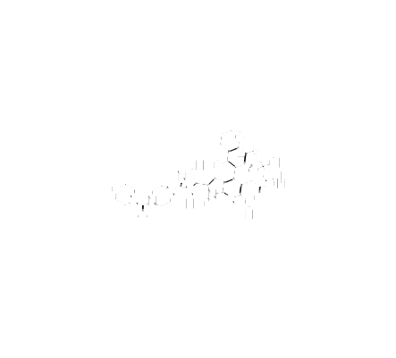 Cc1nc2c(cc(-c3nc(N4CCN(C(=O)N5CCOCC5)CC4)ns3)n2C)c(-c2cc(F)c3c(c2C)CCCO3)c1[C@H](OC(C)(C)C)C(=O)O